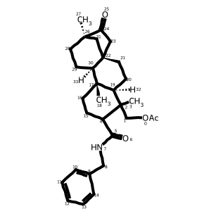 CC(=O)OCC1(C)C(C(=O)NCc2ccccc2)CC[C@@]2(C)[C@H]1CC[C@@]13CC(=O)[C@](C)(CC[C@@H]12)C3